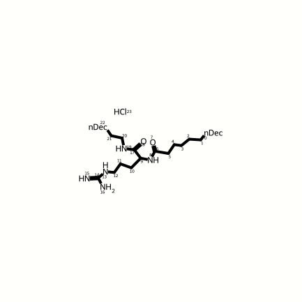 CCCCCCCCCCCCCCCC(=O)NC(CCCNC(=N)N)C(=O)NCCCCCCCCCCCC.Cl